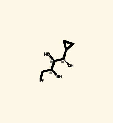 CC(C)C[C@H]([NH])[C@@H](O)[C@@H](O)C1CC1